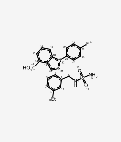 CCc1cccc(CNS(N)(=O)=O)c1.O=C(O)c1cccc2c1cnn2-c1ccc(F)cc1